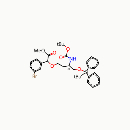 COC(=O)C(OCC[C@H](CO[Si](c1ccccc1)(c1ccccc1)C(C)(C)C)NC(=O)OC(C)(C)C)c1cccc(Br)c1